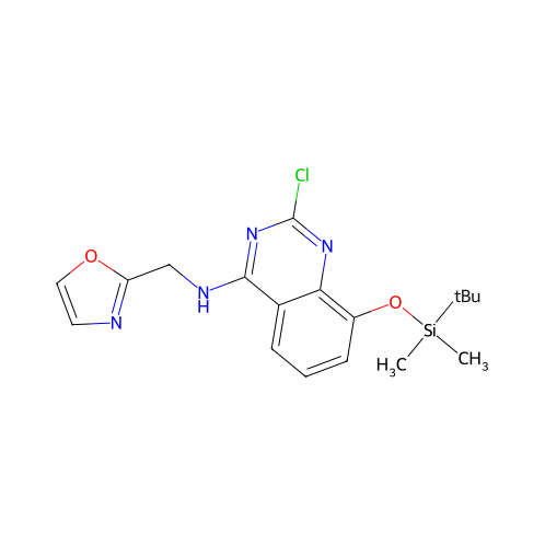 CC(C)(C)[Si](C)(C)Oc1cccc2c(NCc3ncco3)nc(Cl)nc12